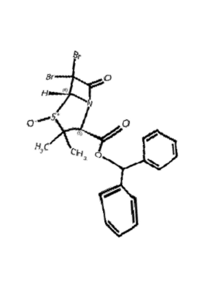 CC1(C)[C@H](C(=O)OC(c2ccccc2)c2ccccc2)N2C(=O)C(Br)(Br)[C@H]2[S+]1[O-]